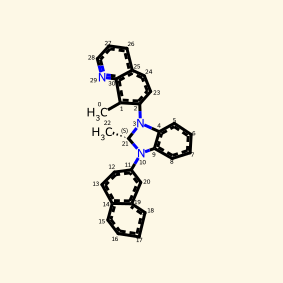 Cc1c(N2c3ccccc3N(c3ccc4ccccc4c3)[C@@H]2C)ccc2cccnc12